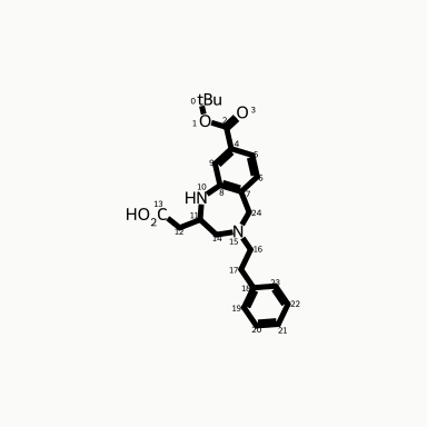 CC(C)(C)OC(=O)c1ccc2c(c1)NC(CC(=O)O)CN(CCc1ccccc1)C2